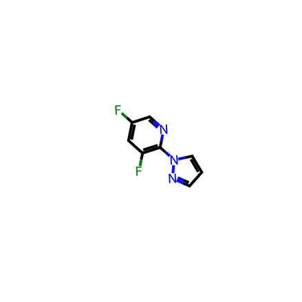 Fc1cnc(-n2cccn2)c(F)c1